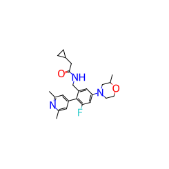 Cc1cc(-c2c(F)cc(N3CCOC(C)C3)cc2CNC(=O)CC2CC2)cc(C)n1